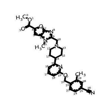 COC(=O)c1cc2c(nc(CN3CCC(c4cccc(OCc5ccc(C#N)cc5C)n4)CC3)n2C)o1